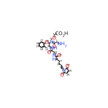 NCC(=O)N(COCC(=O)O)C(=O)[C@@H](Cc1ccccc1)NC(=O)CNC(=O)CCCCCN1C(=O)C=CC1=O